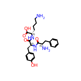 NCCCC[C@H](NC(=O)[C@H](Cc1ccc(O)cc1)NC(=O)[C@@H](N)Cc1ccccc1)C(=O)O